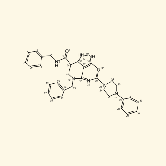 O=C(NCc1ccccc1)C1CN(Cc2ccccc2)c2nc(N3CCN(c4ccccc4)CC3)nc3c2C1NN3